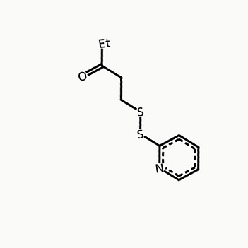 CCC(=O)CCSSc1ccccn1